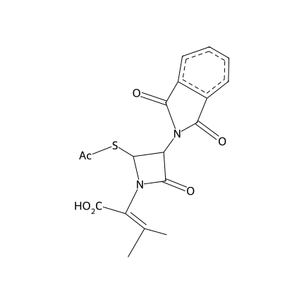 CC(=O)SC1C(N2C(=O)c3ccccc3C2=O)C(=O)N1C(C(=O)O)=C(C)C